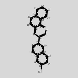 C=c1/c(=C\C(=C/C)c2ccc3cc(I)ccc3c2)ccc2ccccc12